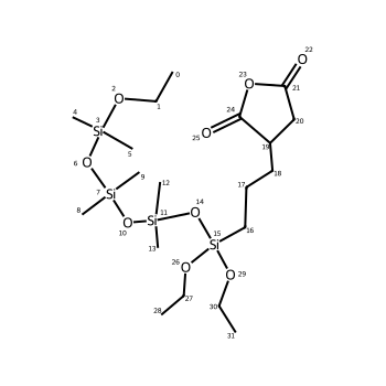 CCO[Si](C)(C)O[Si](C)(C)O[Si](C)(C)O[Si](CCCC1CC(=O)OC1=O)(OCC)OCC